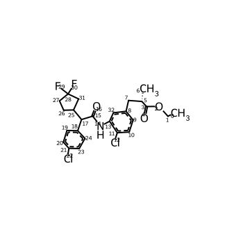 CCOC(=O)[C@@H](C)Cc1ccc(Cl)c(NC(=O)C(c2ccc(Cl)cc2)C2CCC(F)(F)C2)c1